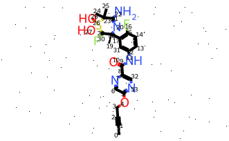 CC#CCOc1cnc(C(=O)Nc2ccc(F)c([C@@]3(C)N=C(N)C(C)(C)S(O)(O)C3F)c2)cn1